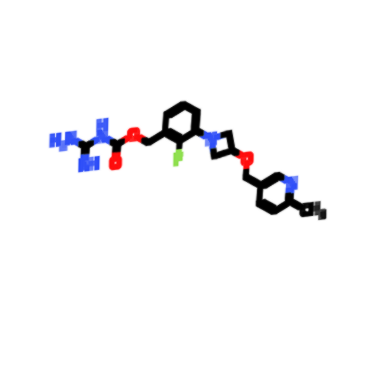 Cc1ccc(COC2CN(c3cccc(COC(=O)NC(=N)N)c3F)C2)cn1